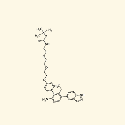 CCc1c(-c2ccc3[nH]ncc3c2)cnc(N)c1-c1ccc(OCCOCCOCCNC(=O)OC(C)(C)C)cc1